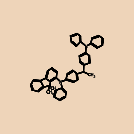 CC(c1ccc(N(c2ccccc2)c2ccccc2)cc1)c1ccc(N(c2ccccc2)c2cccc3c2C(C)(C)c2ccccc2-3)cc1